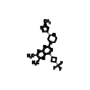 Cc1nc2nc(N3CCO[C@@H](c4cnn(C)c4)C3)nc([C@H]3C[C@@H](C(F)(F)F)C3)c2nc1C